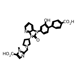 Cn1c(C(=O)O)cnc1CN1CC[C@H](n2c(=O)n(-c3ccc(-c4ccc(C(=O)O)cc4)c(O)c3)c3cccnc32)C1